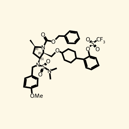 COc1ccc(CN([C@H]2C[C@@H](C)N(C(=O)OCc3ccccc3)[C@H]2COC2CCC(c3ccccc3OS(=O)(=O)C(F)(F)F)CC2)S(=O)(=O)N(C)C)cc1